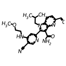 COCCNc1cc(-c2c(C(N)=O)c3nc(C=O)ccc3n2CC(C)C)ncc1C#N